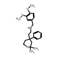 COc1ccc(CNCCC2(c3ccccc3)CCOC(C)(C)C2)cc1OC